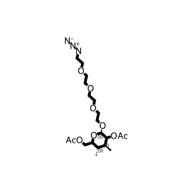 CC(=O)OCC1O[C@H](OCCOCCOCCOCCN=[N+]=[N-])C(OC(C)=O)[C@@H](C)[C@@H]1C